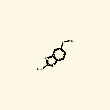 CCCCOc1ccc2nc(NC(C)=O)[nH]c2c1